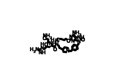 CCCCOc1nc(N)c2[nH]c(=O)n(Cc3ccc(CN4CCC(CCNC(=O)[C@H](CCCNC(=N)N)NC(=O)CON)CC4)cc3)c2n1